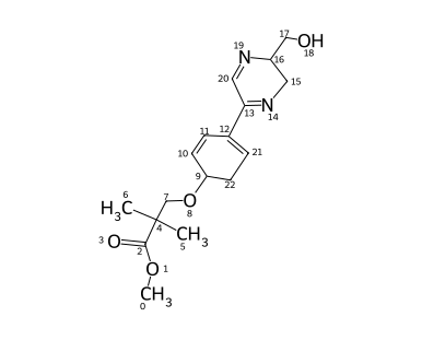 COC(=O)C(C)(C)COC1C=CC(C2=NCC(CO)N=C2)=CC1